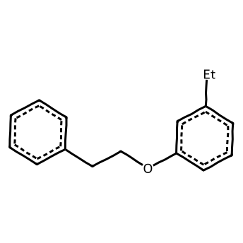 CCc1cccc(OCCc2ccccc2)c1